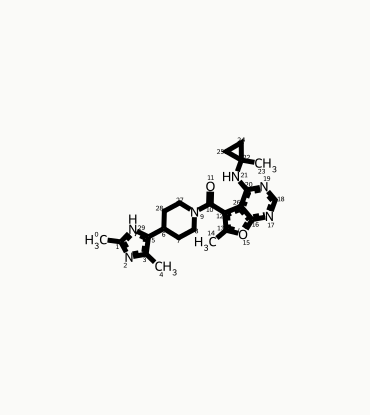 Cc1nc(C)c(C2CCN(C(=O)c3c(C)oc4ncnc(NC5(C)CC5)c34)CC2)[nH]1